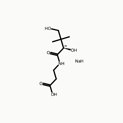 CC(C)(CO)[C@@H](O)C(=O)NCCC(=O)O.[NaH]